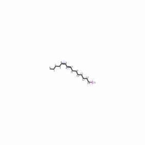 CCCC/C=C\C=C\CCCCCCCI